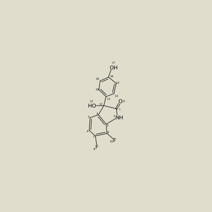 O=C1Nc2c(ccc(F)c2F)C1(O)c1ccc(O)cc1